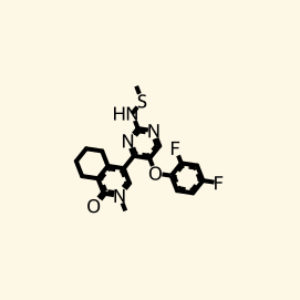 CSNc1ncc(Oc2ccc(F)cc2F)c(-c2cn(C)c(=O)c3c2CCCC3)n1